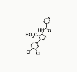 O=C(Nc1scc(-c2ccc(Cl)c(Cl)c2)c1C(=O)O)c1ccsc1